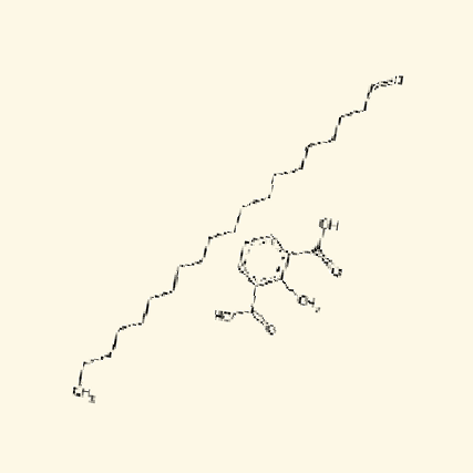 CCCCCCCCCCCCCCCCCCCC=O.Cc1c(C(=O)O)cccc1C(=O)O